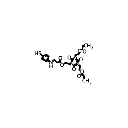 C=CC(=O)OCCn1c(=O)n(CCOC(=O)C=C)c(=O)n(CCOC(=O)CCNc2ccc(S)cc2)c1=O